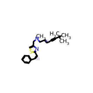 CN(C/C=C/C#CC(C)(C)C)Cc1csc(/C=C\c2ccccc2)n1